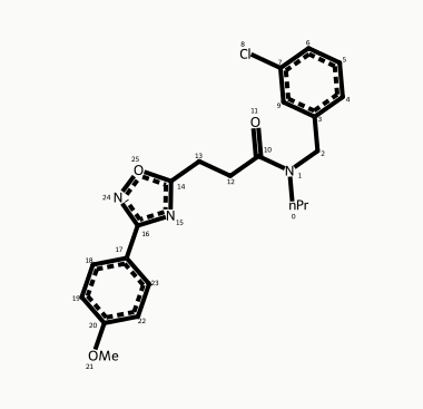 CCCN(Cc1cccc(Cl)c1)C(=O)CCc1nc(-c2ccc(OC)cc2)no1